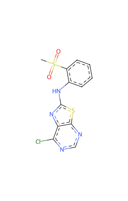 CS(=O)(=O)c1ccccc1Nc1nc2c(Cl)ncnc2s1